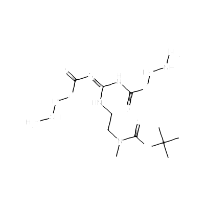 BNPOC(=O)/N=C(\NCCN(C)C(=O)OC(C)(C)C)NC(=O)OPNB